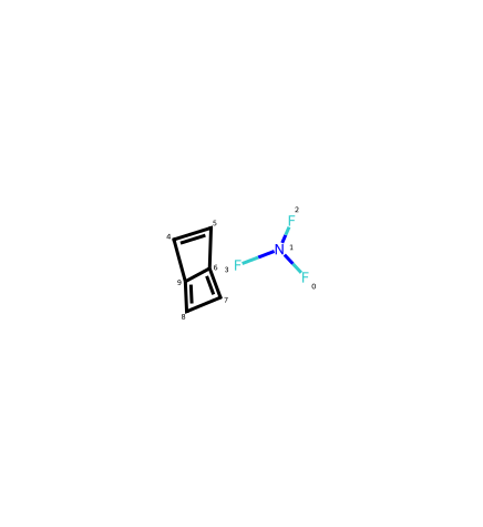 FN(F)F.c1cc2ccc1-2